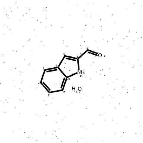 O.O=Cc1cc2ccccc2[nH]1